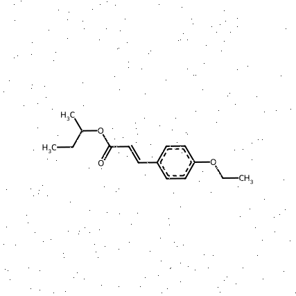 CCOc1ccc(C=CC(=O)OC(C)CC)cc1